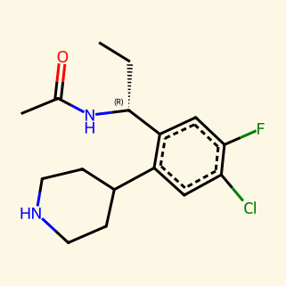 CC[C@@H](NC(C)=O)c1cc(F)c(Cl)cc1C1CCNCC1